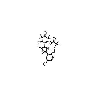 Cc1sc(-c2cc(Cl)ccc2Cl)nc1C1=C(OC(=O)C(C)(C)C)C(C)(C)C(=O)C(C)(C)C1=O